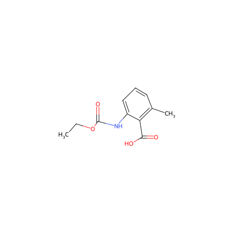 CCOC(=O)Nc1cccc(C)c1C(=O)O